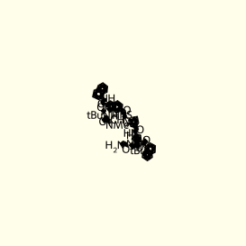 CN[C@@H](C)C(=O)NC(C(=O)N1Cc2cc(C(=O)Nc3nc4cc(C(=O)N[C@H]5C[C@@H](C(=O)N[C@@H]6CCCc7ccccc76)N(C(=O)[C@@H](NC(=O)CN)C(C)(C)C)C5)ccc4s3)ccc2C[C@H]1C(=O)N[C@@H]1CCCc2ccccc21)C(C)(C)C